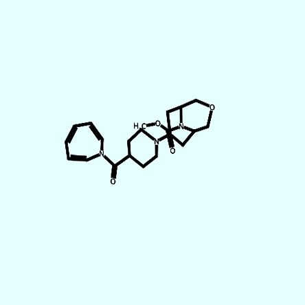 COC(=O)N1C2COCC1CC(N1CCC(C(=O)N3C=CC=CC=C3)CC1)C2